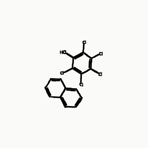 Oc1c(Cl)c(Cl)c(Cl)c(Cl)c1Cl.c1ccc2ccccc2c1